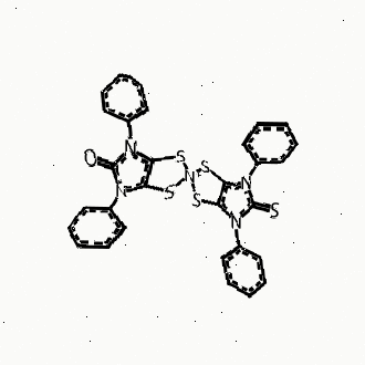 O=c1n(-c2ccccc2)c2c(n1-c1ccccc1)S[N+]1(S2)Sc2c(n(-c3ccccc3)c(=S)n2-c2ccccc2)S1